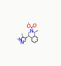 COC(=O)N1C[C@H](c2cnn(C)c2C)c2ccccc2[C@@H]1C